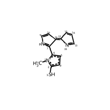 Cn1c(S)ccc1C1=NC=CC1=C1C=CC=N1